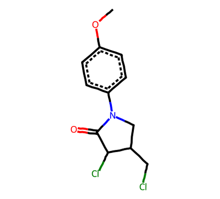 COc1ccc(N2CC(CCl)C(Cl)C2=O)cc1